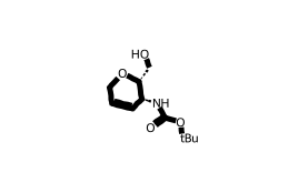 CC(C)(C)OC(=O)N[C@@H]1C=CCO[C@@H]1CO